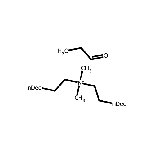 CCC=O.CCCCCCCCCCCC[N+](C)(C)CCCCCCCCCCCC